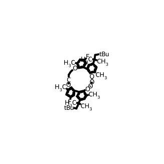 Cc1cc(F)cc2c1OCCCOc1c(C)cc(F)cc1-c1cc(C(C)(C)CC(C)(C)C)cc(C)c1OOOOc1c(C)cc(C(C)(C)CC(C)(C)C)cc1-2